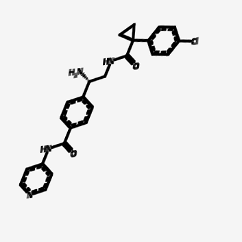 N[C@H](CNC(=O)C1(c2ccc(Cl)cc2)CC1)c1ccc(C(=O)Nc2ccncc2)cc1